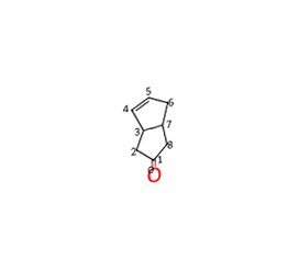 O=C1CC2C=CCC2C1